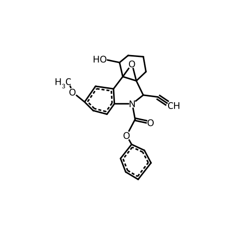 C#CC1N(C(=O)Oc2ccccc2)c2ccc(OC)cc2C23OC12CCCC3O